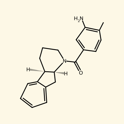 Cc1ccc(C(=O)N2CCC[C@@H]3c4ccccc4C[C@@H]32)cc1N